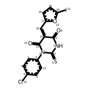 O=C1NC(=S)N(c2ccc(Cl)cc2)C(=O)C1=Cc1ccc(I)o1